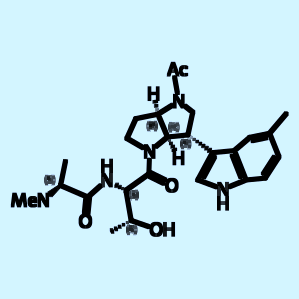 CN[C@@H](C)C(=O)N[C@H](C(=O)N1CC[C@@H]2[C@H]1[C@@H](c1c[nH]c3ccc(C)cc13)CN2C(C)=O)[C@@H](C)O